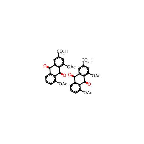 CC(=O)Oc1cccc2c1C(=O)c1c(OC(C)=O)cc(C(=O)O)cc1C2=O.CC(=O)Oc1cccc2c1C(=O)c1c(OC(C)=O)cc(C(=O)O)cc1C2=O